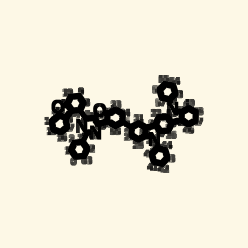 c1ccc(-c2nc(-c3cccc4oc5ccccc5c34)c3oc4ccc(-c5ccc6c(c5)c5cc7c(cc5n6-c5ccccc5)c5ccccc5n7-c5ccccc5)cc4c3n2)cc1